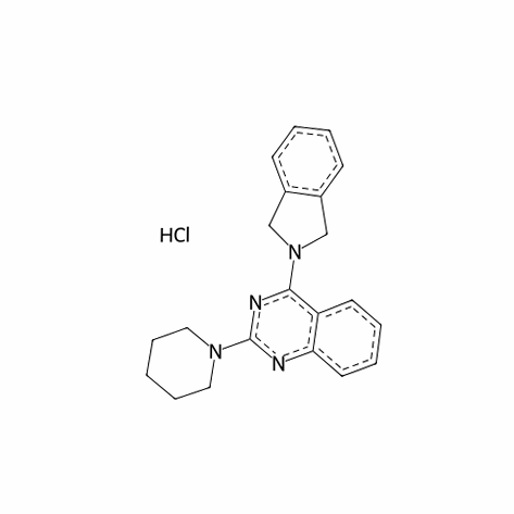 Cl.c1ccc2c(c1)CN(c1nc(N3CCCCC3)nc3ccccc13)C2